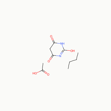 CC(=O)O.CCCC.O=C1CC(=O)NC(O)=N1